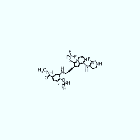 [2H]C([2H])([2H])Oc1ccc(C(=O)NC)cc1NCC#Cc1cc2c(N[C@@H]3CCNC[C@@H]3F)nccn2c1SC(F)(F)F